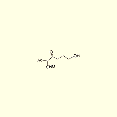 CC(=O)C(C=O)C(=O)CCCO